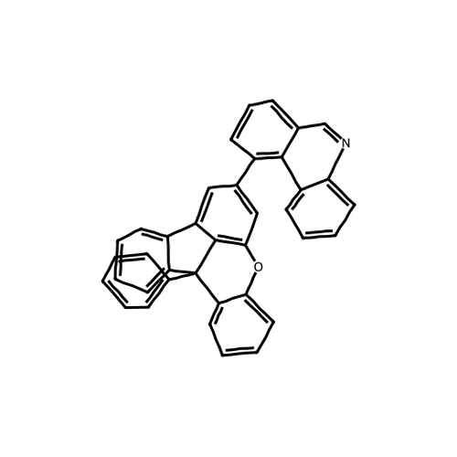 c1ccc(C23c4ccccc4Oc4cc(-c5cccc6cnc7ccccc7c56)cc(c42)-c2ccccc23)cc1